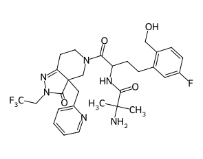 CC(C)(N)C(=O)NC(CCc1cc(F)ccc1CO)C(=O)N1CCC2=NN(CC(F)(F)F)C(=O)C2(Cc2ccccn2)C1